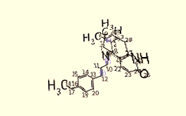 C/C=C1\[C@H]2C=C(C)C[C@]1(/N=C/C=C/c1ccc(CC)cc1)c1ccc(=O)[nH]c1C2